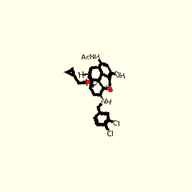 CC(=O)Nc1cc(O)c2c3c1C[C@@H]1[C@@H]4CC[C@H](NCc5ccc(Cl)c(Cl)c5)[C@H](O2)[C@]34CCN1CC1CC1